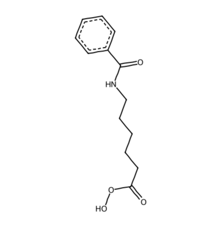 O=C(CCCCCNC(=O)c1ccccc1)OO